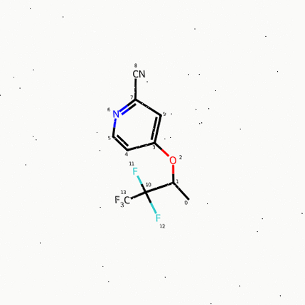 CC(Oc1ccnc(C#N)c1)C(F)(F)C(F)(F)F